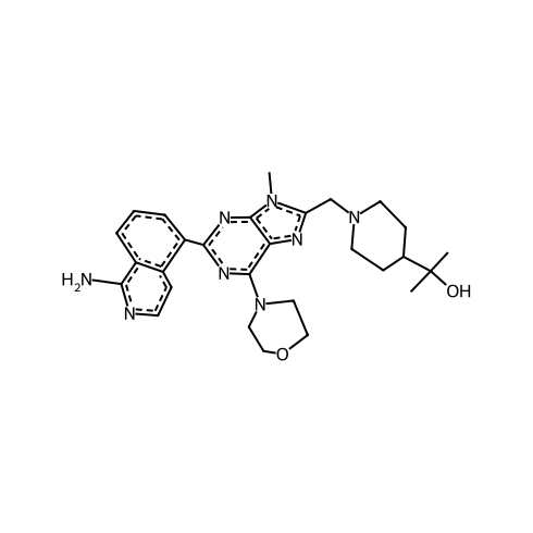 Cn1c(CN2CCC(C(C)(C)O)CC2)nc2c(N3CCOCC3)nc(-c3cccc4c(N)nccc34)nc21